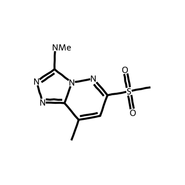 CNc1nnc2c(C)cc(S(C)(=O)=O)nn12